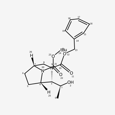 C[C@H](O)[C@@H]1[C@@H]2CC[C@H](CN1C(=O)OCc1ccccc1)N2C(=O)OC(C)(C)C